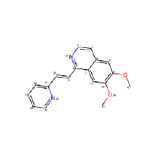 COc1cc2ccnc(C=Cc3ccccn3)c2cc1OC